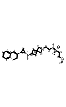 CC/C(=C\c1ccccc1)[C@H]1C[C@@H]1NC1CC2(C1)CN(CCNS(=O)(=O)CCOC)C2